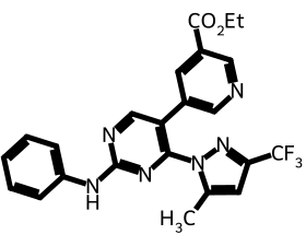 CCOC(=O)c1cncc(-c2cnc(Nc3ccccc3)nc2-n2nc(C(F)(F)F)cc2C)c1